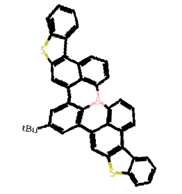 CC(C)(C)c1cc2c3c(c1)-c1cc4sc5ccccc5c4c4cccc(c14)B3c1cccc3c1c-2cc1sc2ccccc2c13